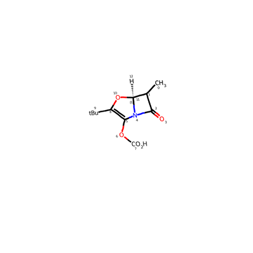 CC1C(=O)N2C(OC(=O)O)=C(C(C)(C)C)O[C@@H]12